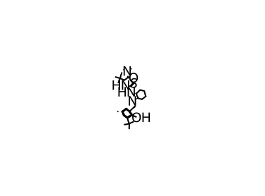 CN(C)C(=O)[C@@H](NC(=S)N[C@@H]1CCCC[C@H]1/N=C/c1c[c]cc(C(C)(C)C)c1O)C(C)(C)C